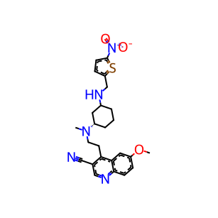 COc1ccc2ncc(C#N)c(CCN(C)[C@H]3CCCC(NCc4ccc([N+](=O)[O-])s4)C3)c2c1